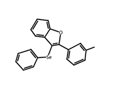 Cc1cccc(-c2oc3ccccc3c2[Se]c2ccccc2)c1